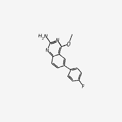 COc1nc(N)nc2ccc(-c3ccc(F)cc3)cc12